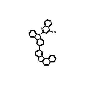 N#Cc1cc(-n2c3ccccc3c3cc(-c4ccc5sc6ccc7ccccc7c6c5c4)ccc32)nc2ccccc12